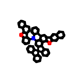 c1ccc(N(c2ccc3c(c2)C2(c4ccccc4-c4ccccc42)c2ccccc2-3)c2cccc3oc4c5ccccc5ccc4c23)c(-c2ccc3oc4cc5ccccc5cc4c3c2)c1